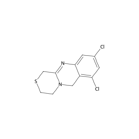 Clc1cc(Cl)c2c(c1)N=C1CSCCN1C2